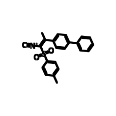 [C-]#[N+]C(=C(C)c1ccc(-c2ccccc2)cc1)S(=O)(=O)c1ccc(C)cc1